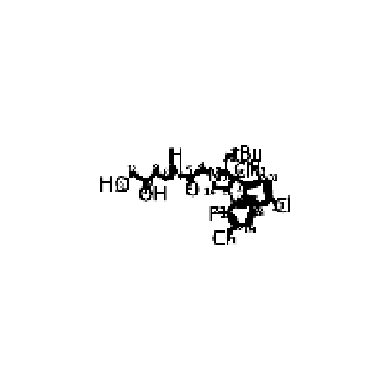 CC(C)(C)C[C@@H]1N(CC(=O)NCCC(O)CO)C[C@H](c2cccc(Cl)c2F)[C@@]1(C#N)c1ccc(Cl)cc1F